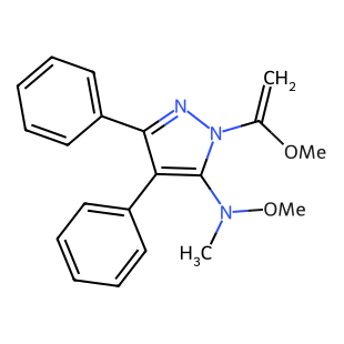 C=C(OC)n1nc(-c2ccccc2)c(-c2ccccc2)c1N(C)OC